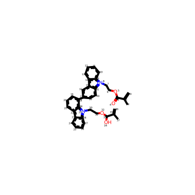 C=C(C)C(=O)OCCn1c2ccccc2c2cc(-c3cccc4c5ccccc5n(CCOC(O)C(=C)C)c34)ccc21